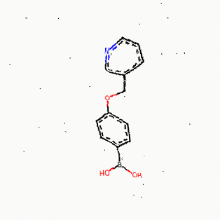 OB(O)c1ccc(OCc2cccnc2)cc1